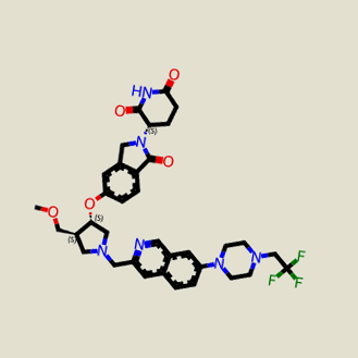 COC[C@@H]1CN(Cc2cc3ccc(N4CCN(CC(F)(F)F)CC4)cc3cn2)C[C@H]1Oc1ccc2c(c1)CN([C@H]1CCC(=O)NC1=O)C2=O